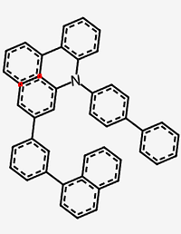 c1ccc(-c2ccc(N(c3cccc(-c4cccc(-c5cccc6ccccc56)c4)c3)c3ccccc3-c3ccccc3)cc2)cc1